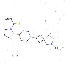 CCOC(=O)N1CCC2(CC(N3CCC([C@@H]4CCCN4C(=S)NC)CC3)C2)C1